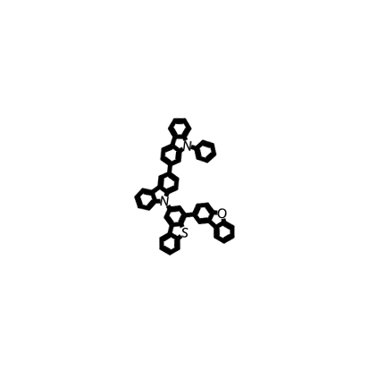 c1ccc(-n2c3ccccc3c3ccc(-c4ccc5c(c4)c4ccccc4n5-c4cc(-c5ccc6oc7ccccc7c6c5)c5sc6ccccc6c5c4)cc32)cc1